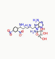 Nc1ncnc2c1nc(CC(N)CCCC(N)c1ccc([N+](=O)[O-])cc1[N+](=O)[O-])n2[C@]1(N)O[C@H](CO)[C@@H](O)[C@H]1O